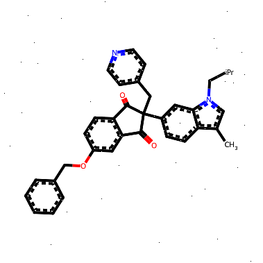 Cc1cn(CC(C)C)c2cc(C3(Cc4ccncc4)C(=O)c4ccc(OCc5ccccc5)cc4C3=O)ccc12